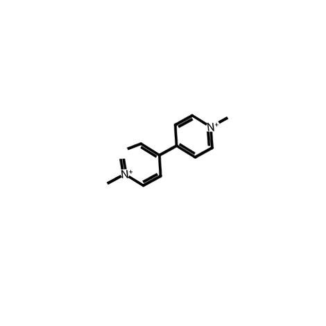 C=[N+](C)/C=C\C(=C/C)c1cc[n+](C)cc1